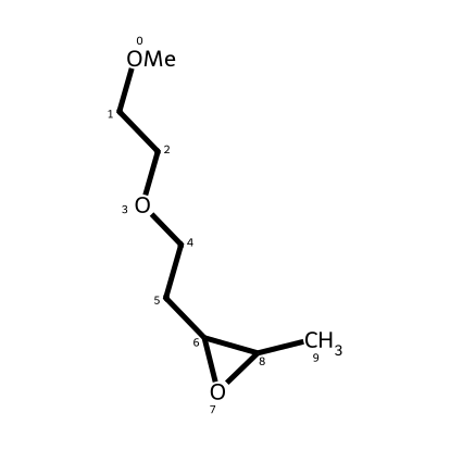 COCCOCCC1OC1C